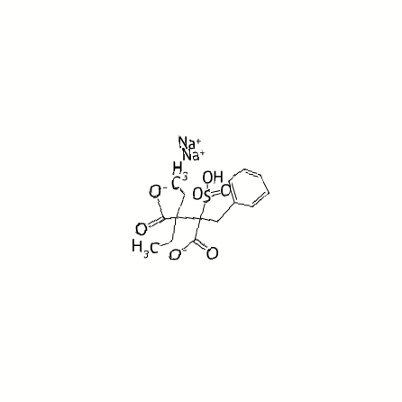 CCC(CC)(C(=O)[O-])C(Cc1ccccc1)(C(=O)[O-])S(=O)(=O)O.[Na+].[Na+]